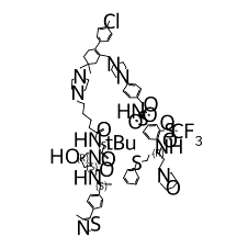 Cc1ncsc1-c1ccc([C@H](C)NC(=O)[C@@H]2C[C@@H](O)CN2C(=O)[C@@H](NC(=O)CCCCCN2CCN(CC3(C)CCC(c4ccc(Cl)cc4)=C(CN4CCN(c5ccc(C(=O)NS(=O)(=O)c6ccc(N[C@@H](CCSc7ccccc7)CCN7CCOCC7)c(S(=O)(=O)C(F)(F)F)c6)cc5)CC4)C3)CC2)C(C)(C)C)cc1